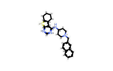 c1ccc2cc(CN3CCC(Nc4ncnc5sc6c(c45)CCCC6)CC3)ccc2c1